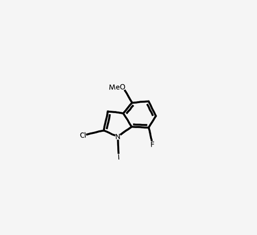 COc1ccc(F)c2c1cc(Cl)n2I